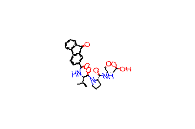 CC(C)[C@H](NC(=O)c1ccc2c(c1)C(=O)c1ccccc1-2)C(=O)N1CCC[C@H]1C(=O)N[C@H](C=O)CC(=O)O